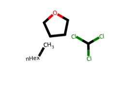 C1CCOC1.CCCCCCC.ClC(Cl)Cl